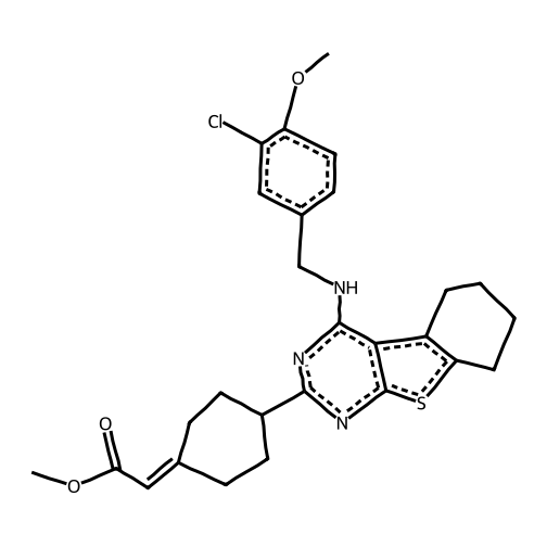 COC(=O)C=C1CCC(c2nc(NCc3ccc(OC)c(Cl)c3)c3c4c(sc3n2)CCCC4)CC1